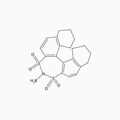 BN1S(=O)(=O)c2ccc3c(c2-c2c(ccc4c2CCCC4)S1(=O)=O)CCCC3